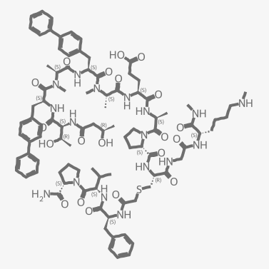 CNCCCC[C@H](NC(=O)CNC(=O)[C@H](CSCC(=O)N[C@@H](Cc1ccccc1)C(=O)N[C@H](C(=O)N1CCC[C@H]1C(N)=O)C(C)C)NC(=O)[C@@H]1CCCN1C(=O)[C@H](C)NC(=O)[C@H](CCC(=O)O)NC(=O)[C@H](C)N(C)C(=O)[C@H](Cc1ccc(-c2ccccc2)cc1)NC(=O)[C@H](C)N(C)C(=O)[C@H](Cc1ccc(-c2ccccc2)cc1)NC(=O)[C@@H](NC(=O)C[C@@H](C)O)[C@@H](C)O)C(=O)NC